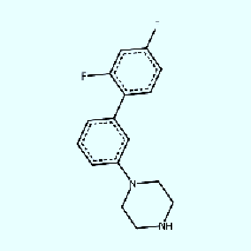 Fc1ccc(-c2cccc(N3CCNCC3)c2)c(F)c1